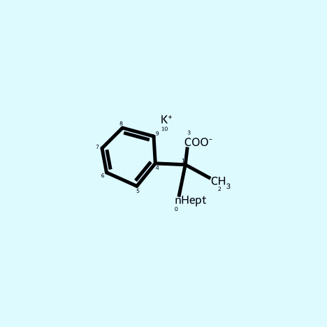 CCCCCCCC(C)(C(=O)[O-])c1ccccc1.[K+]